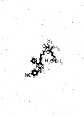 CC(C(=O)NCCCC#Cc1cnc(Nc2ccc(C#N)cc2)nc1-n1cccn1)N(C)C(=O)C=CCN(C)C